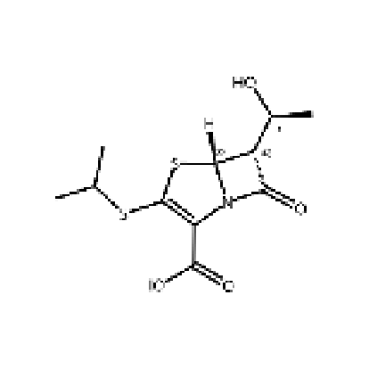 CC(C)SC1=C(C(=O)O)N2C(=O)[C@@H]([C@H](C)O)[C@H]2S1